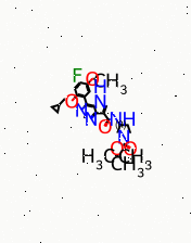 COc1cc(-c2ncnc3c(C(=O)N[C@@H]4CCN(C(=O)OC(C)(C)C)C4)c[nH]c23)c(OCC2CC2)cc1F